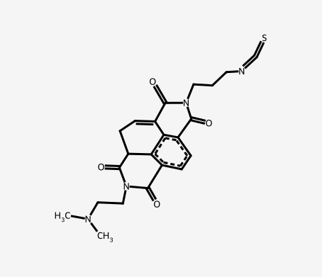 CN(C)CCN1C(=O)c2ccc3c4c2C(CC=C4C(=O)N(CCCN=C=S)C3=O)C1=O